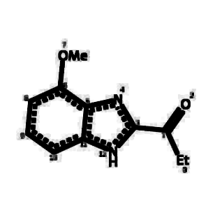 CCC(=O)c1nc2c(OC)cccc2[nH]1